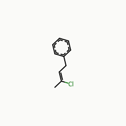 CC(Cl)=CCc1ccccc1